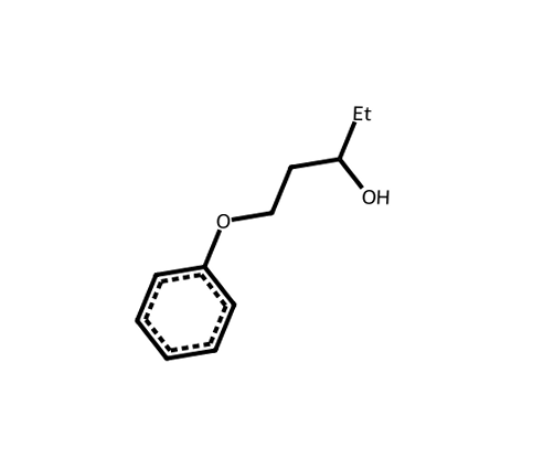 [CH2]CC(O)CCOc1ccccc1